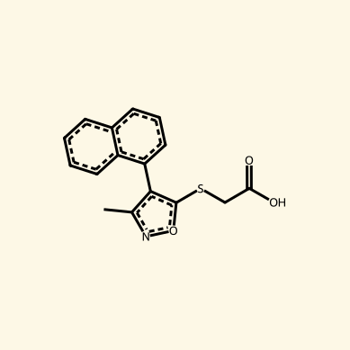 Cc1noc(SCC(=O)O)c1-c1cccc2ccccc12